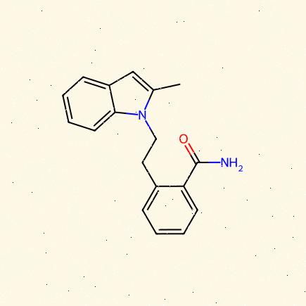 Cc1cc2ccccc2n1CCc1ccccc1C(N)=O